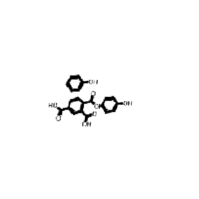 O=C(O)c1ccc(C(=O)O)c(C(=O)O)c1.Oc1ccccc1.Oc1ccccc1